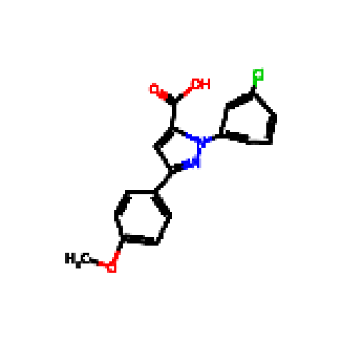 COc1ccc(-c2cc(C(=O)O)n(-c3cccc(Cl)c3)n2)cc1